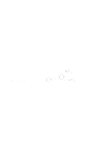 CCOC(=O)CCCCCCCOc1ccc(/C=C/c2cc(OC)cc(OC)c2)cc1